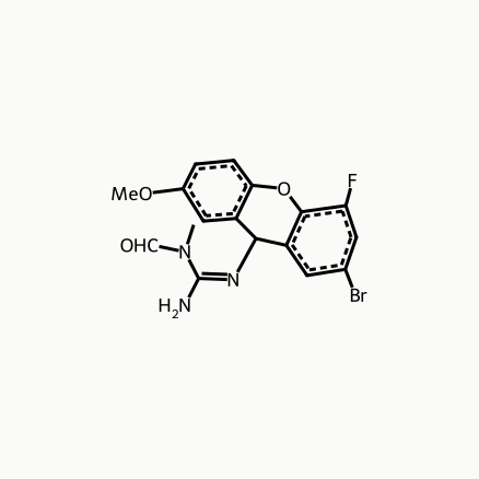 COc1ccc2c(c1)C(/N=C(/N)N(C)C=O)c1cc(Br)cc(F)c1O2